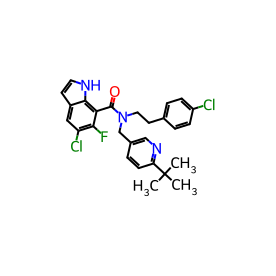 CC(C)(C)c1ccc(CN(CCc2ccc(Cl)cc2)C(=O)c2c(F)c(Cl)cc3cc[nH]c23)cn1